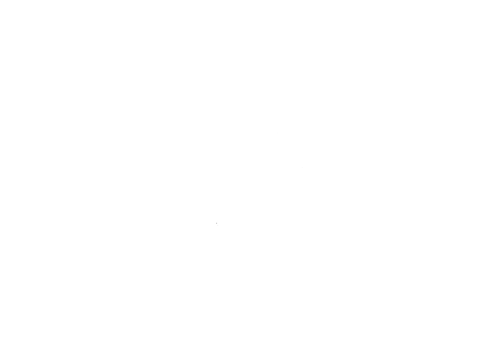 C[Si](C)(C)C#Cc1ccccc1-c1ccccc1